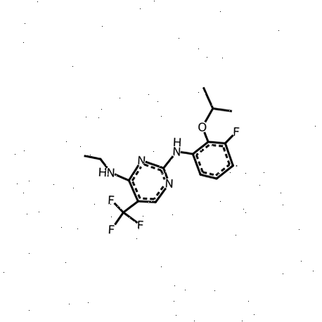 CCNc1nc(Nc2cc[c]c(F)c2OC(C)C)ncc1C(F)(F)F